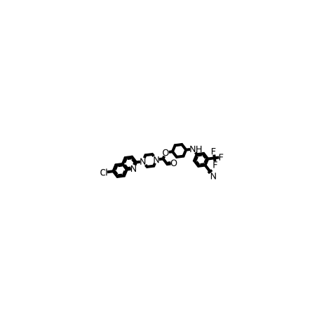 N#Cc1ccc(NC2CCC(OC(C=O)N3CCN(c4ccc5cc(Cl)ccc5n4)CC3)CC2)cc1C(F)(F)F